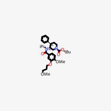 COCCCOc1cc(C(=O)N(C(C)C)[C@H]2CN(C(=O)OC(C)(C)C)CC[C@@H]2c2ccccc2)ccc1OC